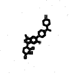 C[C@H](C1CCNCC1)N1CCC(c2cc3c(cc2F)c(C2CCC(=O)NC2=O)nn3C)CC1